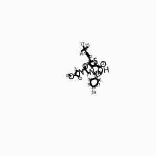 COC1CN(C(=O)CN(c2cc(C#CC(C)(C)C)sc2C(=O)O)C(=O)[C@H]2CC[C@H](C)CC2)C1